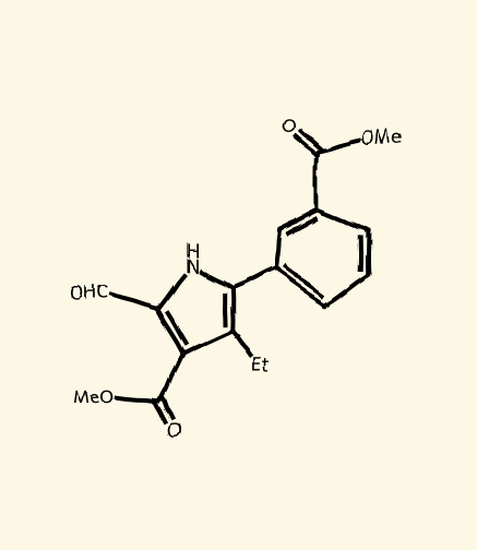 CCc1c(-c2cccc(C(=O)OC)c2)[nH]c(C=O)c1C(=O)OC